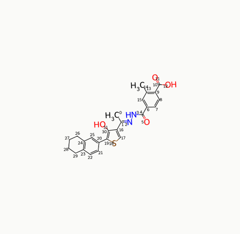 C/C(=N\NC(=O)c1ccc(C(=O)O)c(C)c1)c1csc(-c2ccc3c(c2)CCCC3)c1O